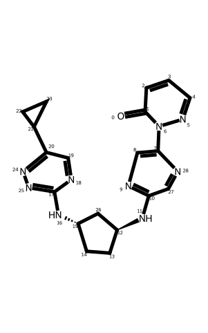 O=c1cccnn1-c1cnc(N[C@H]2CC[C@H](Nc3ncc(C4CC4)nn3)C2)cn1